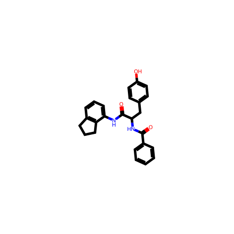 O=C(NC(Cc1ccc(O)cc1)C(=O)Nc1cccc2c1CCC2)c1ccccc1